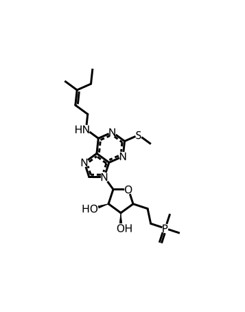 C=P(C)(C)CCC1OC(n2cnc3c(NC/C=C(/C)CC)nc(SC)nc32)[C@H](O)[C@@H]1O